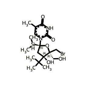 Cc1cn([C@@]2([SiH](C)C)C[C@@](O)(C(C)(C)C)[C@](CO)(CBr)O2)c(=O)[nH]c1=O